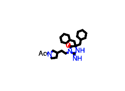 CC(=O)N1CCC(CCN2C(=N)NC(CC3CCCCC3)(CC3CCCCC3)C2=O)C1